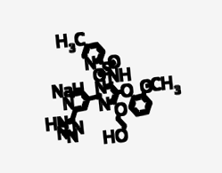 COc1ccccc1Oc1c(NS(=O)(=O)c2ccc(C)cn2)nc(-c2ccnc(-c3nnn[nH]3)c2)nc1OCCO.[NaH]